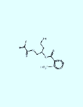 C=C(C)C(=O)OCC(CCO)OC(=O)c1ccccc1C(=O)O